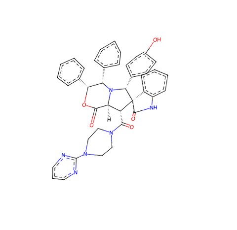 O=C1O[C@H](c2ccccc2)[C@H](c2ccccc2)N2[C@H]1[C@@H](C(=O)N1CCN(c3ncccn3)CC1)[C@]1(C(=O)Nc3ccccc31)[C@H]2c1ccc(O)cc1